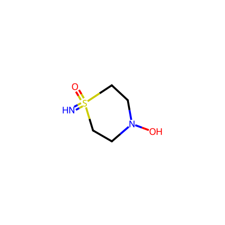 N=S1(=O)CCN(O)CC1